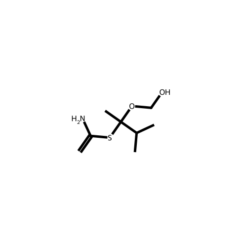 C=C(N)SC(C)(OCO)C(C)C